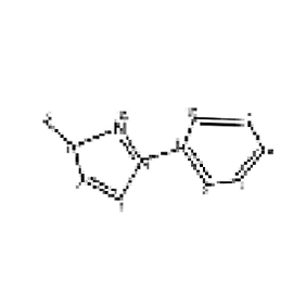 C[C]1C=CC(c2ccccc2)=N1